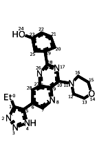 CCc1nn[nH]c1-c1cnc2c(N3CCOCC3)nc(-c3cccc(O)c3)nc2c1